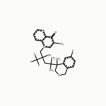 Cc1cn(CC(O)(CC(C)(C)C2(C)COCc3ccc(F)cc32)C(F)(F)F)c2cccnc2c1=O